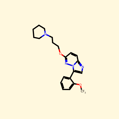 FC(F)(F)Oc1ccccc1-c1cnc2ccc(OCCCN3CCCCC3)nn12